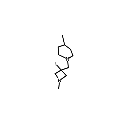 CC1CCN(CC2(I)CN(C)C2)CC1